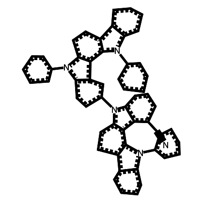 N#Cc1cccc2c1c1c(ccc3c4ccccc4n(-c4ccccc4)c31)n2-c1ccc2c(c1)c1c(ccc3c4ccccc4n(-c4ccccc4)c31)n2-c1ccccc1